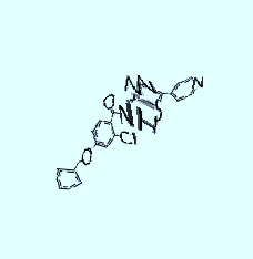 O=C(Nc1nnc(-c2ccncc2)s1)c1ccc(OCc2ccccc2)cc1Cl